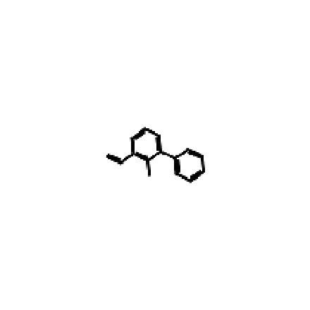 C=Cc1cccc(-c2ccccc2)c1C